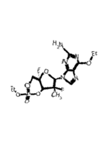 CCOc1nc(N)nc2c1ncn2[C@@H]1O[C@]2(F)COP(=O)(OCC)OC2[C@@]1(C)F